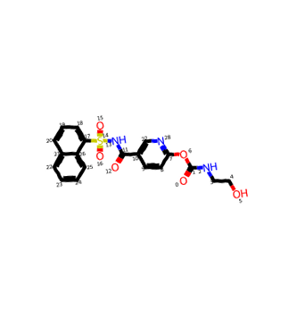 O=C(NCCO)Oc1ccc(C(=O)NS(=O)(=O)c2cccc3ccccc23)cn1